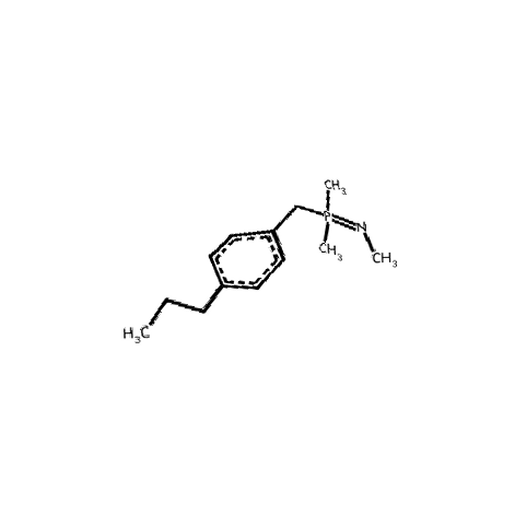 CCCc1ccc(CP(C)(C)=NC)cc1